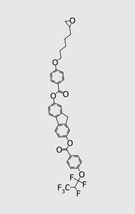 O=C(Oc1ccc2c(c1)Cc1cc(OC(=O)c3ccc(OC(F)(F)C(F)C(F)(F)F)cc3)ccc1-2)c1ccc(OCCCCCC2CO2)cc1